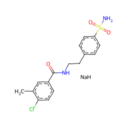 Cc1cc(C(=O)NCCc2ccc(S(N)(=O)=O)cc2)ccc1Cl.[NaH]